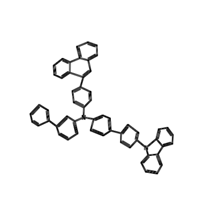 c1ccc(-c2cccc(N(c3ccc(-c4ccc(-n5c6ccccc6c6ccccc65)cc4)cc3)c3ccc(-c4cc5ccccc5c5ccccc45)cc3)c2)cc1